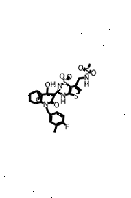 Cc1cc(CN2C(=O)C(C3=NS(=O)(=O)c4c(CNS(C)(=O)=O)csc4N3)=C(O)C3C4CCC(CC4)C32)ccc1F